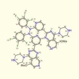 COc1cncc2nc(-c3ccnc(N(c4ccc(F)c(F)c4F)N(c4cc(-c5nc(N6CCNCC6)c6c(OC)cncc6n5)ccn4)c4ccc(F)c(F)c4F)c3)nc(N3CCNCC3)c12